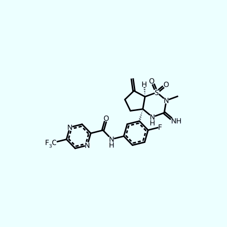 C=C1CC[C@]2(c3cc(NC(=O)c4cnc(C(F)(F)F)cn4)ccc3F)NC(=N)N(C)S(=O)(=O)[C@H]12